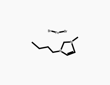 CCCCN1C=CN(C)C1.[Br][Fe][Br]